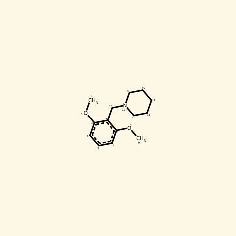 COc1cccc(OC)c1CN1CC[CH]CC1